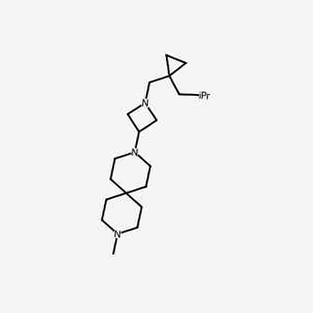 CC(C)CC1(CN2CC(N3CCC4(CCN(C)CC4)CC3)C2)CC1